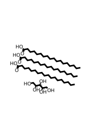 CCCCCCCCCCCCCCCCCC(=O)O.CCCCCCCCCCCCCCCCCC(=O)O.CCCCCCCCCCCCCCCCCC(=O)O.OC[C@@H](O)[C@H](O)[C@@H](O)CO